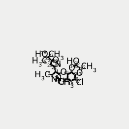 Cc1nn(C)c(Oc2cc(O[C@@H](C)C(=O)O)c(Cl)cc2Cl)c1-c1cc(C(C)(C)O)on1